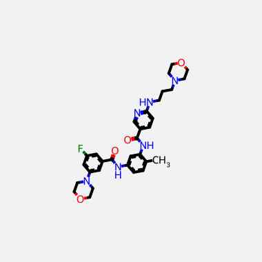 Cc1ccc(NC(=O)c2cc(F)cc(N3CCOCC3)c2)cc1NC(=O)c1ccc(NCCCN2CCOCC2)nc1